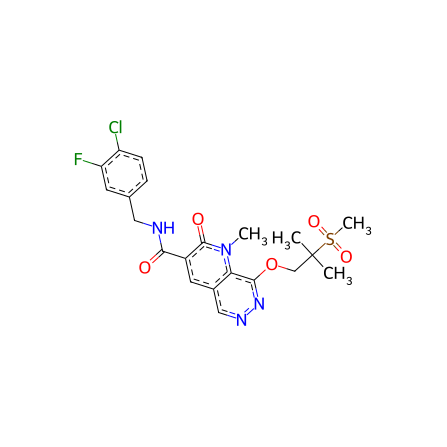 Cn1c(=O)c(C(=O)NCc2ccc(Cl)c(F)c2)cc2cnnc(OCC(C)(C)S(C)(=O)=O)c21